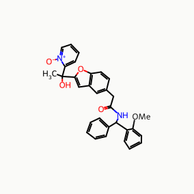 COc1ccccc1C(NC(=O)Cc1ccc2oc(C(C)(O)c3cccc[n+]3[O-])cc2c1)c1ccccc1